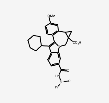 COc1ccc2c(c1)C1CC1(C(=O)O)Cn1c-2c(C2CCCCC2)c2ccc(C(=O)N[S@@+]([O-])C(C)C)cc21